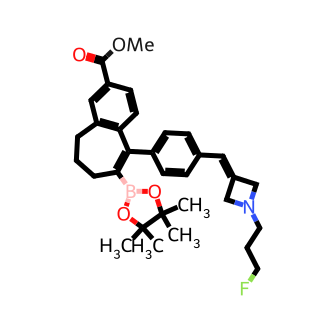 COC(=O)c1ccc2c(c1)CCCC(B1OC(C)(C)C(C)(C)O1)=C2c1ccc(C=C2CN(CCCF)C2)cc1